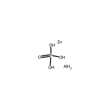 O=P(O)(O)O.[AlH3].[Zn]